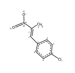 C/C(=C\c1ccc(Cl)cc1)[N+](=O)[O-]